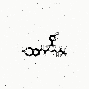 CN1CCc2ccc(NC(=O)[C@@H](CCNC(=O)C(F)(F)F)NC(=O)c3ccc(Cl)s3)cc2CC1